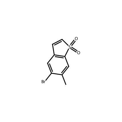 Cc1cc2c(cc1Br)C=CS2(=O)=O